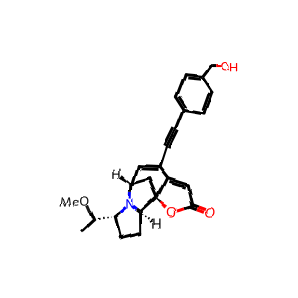 COC(C)[C@H]1CC[C@H]2N1[C@@H]1C=C(C#Cc3ccc(CO)cc3)C3=CC(=O)O[C@@]32C1